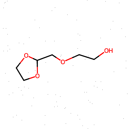 OCCOCC1OCCO1